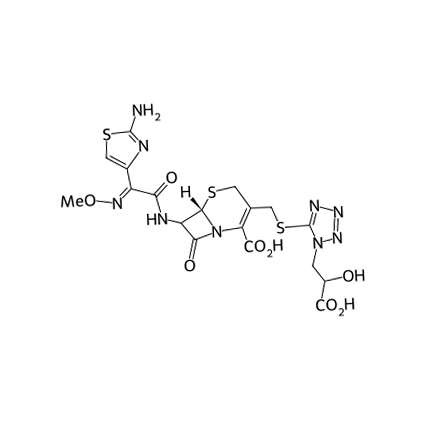 CON=C(C(=O)NC1C(=O)N2C(C(=O)O)=C(CSc3nnnn3CC(O)C(=O)O)CS[C@@H]12)c1csc(N)n1